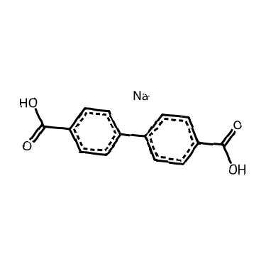 O=C(O)c1ccc(-c2ccc(C(=O)O)cc2)cc1.[Na]